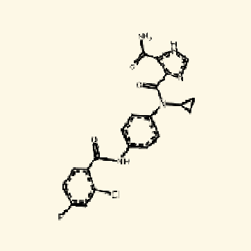 NC(=O)c1[nH]cnc1C(=O)N(c1ccc(NC(=O)c2ccc(F)cc2Cl)cc1)C1CC1